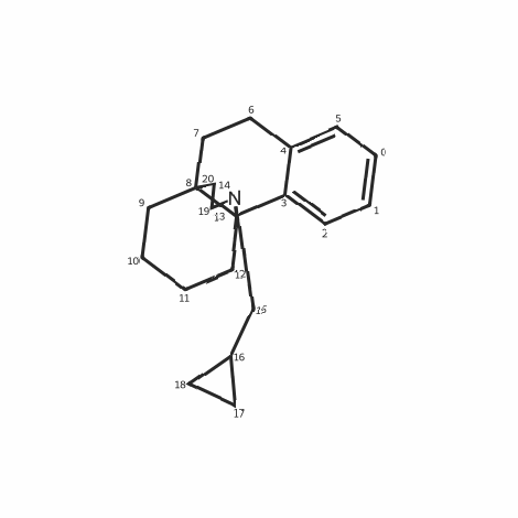 c1ccc2c(c1)CCC13CCCCC21N(CC1CC1)CC3